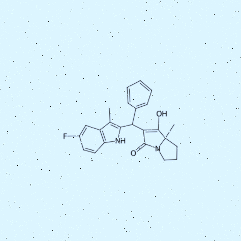 Cc1c(C(C2=C(O)C3(C)CCCN3C2=O)c2ccccc2)[nH]c2ccc(F)cc12